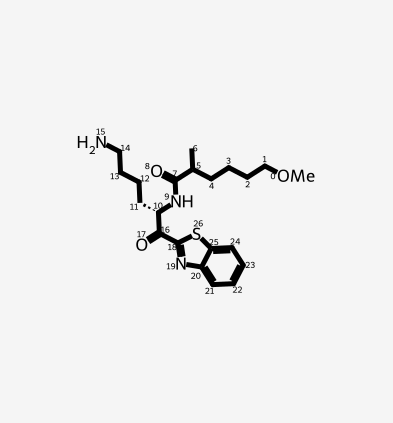 COCCCCC(C)C(=O)N[C@@H](CCCCN)C(=O)c1nc2ccccc2s1